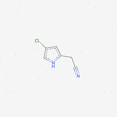 N#CCc1cc(Cl)c[nH]1